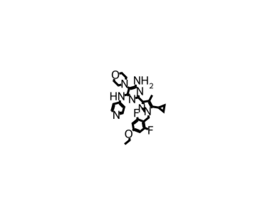 CCOc1cc(F)c(Cn2nc(-c3nc(N)c(N4CCOCC4)c(Nc4ccncc4)n3)c(C)c2C2CC2)c(F)c1